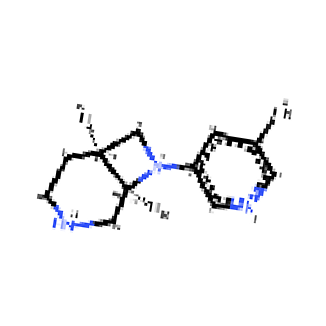 N#Cc1cncc(N2C[C@@H]3CCNC[C@@H]32)c1